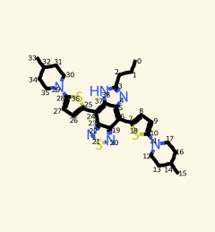 CCCc1nc2c(-c3ccc(N4CCC(C)CC4)s3)c3nsnc3c(-c3ccc(N4CCC(C)CC4)s3)c2[nH]1